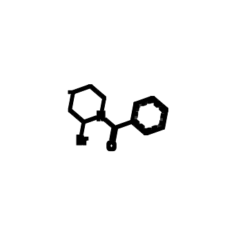 O=C(c1ccccc1)N1CC[CH]CC1Br